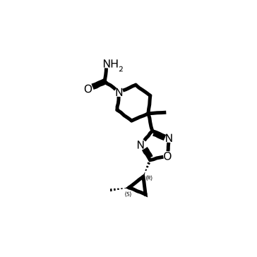 C[C@H]1C[C@H]1c1nc(C2(C)CCN(C(N)=O)CC2)no1